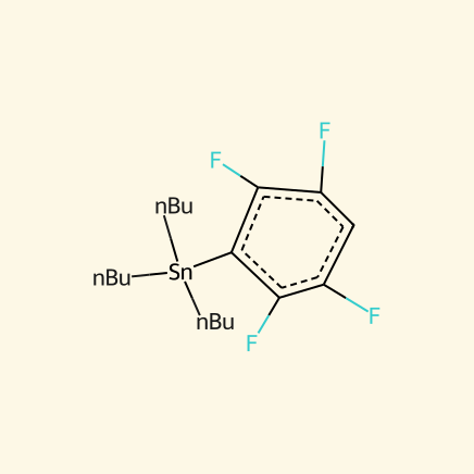 CCC[CH2][Sn]([CH2]CCC)([CH2]CCC)[c]1c(F)c(F)cc(F)c1F